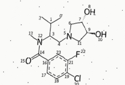 CC(C)C(CN1C[C@H](O)[C@@H](O)C1)N(C)C(=O)c1ccc(Cl)c(F)c1